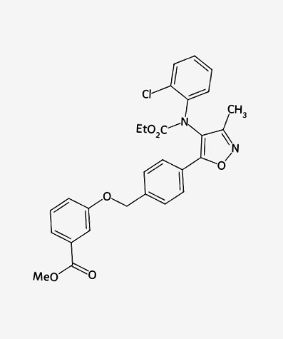 CCOC(=O)N(c1ccccc1Cl)c1c(C)noc1-c1ccc(COc2cccc(C(=O)OC)c2)cc1